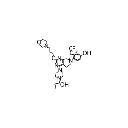 C=CC(O)N1CCN(c2nc(OCCCN3CCOCC3)nc3c2CCN(c2ccc(O)cc2OC(F)(F)F)C3)CC1